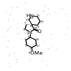 COC1CCC(N2CC[C@]3(CCCNC3)C2=O)CC1